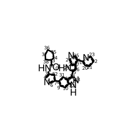 O=C(Nc1cncc(-c2ccc3[nH]nc(-c4cc5c(-c6ccccn6)cncc5[nH]4)c3c2)c1)C1CCCCC1